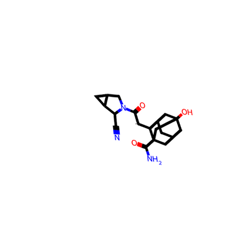 N#CC1C2CC2CN1C(=O)[CH]C1C2CC3CC(O)(C2)CC1(C(N)=O)C3